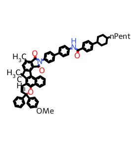 CCCCCC1CCC(c2ccc(C(=O)Nc3ccc(-c4ccc(N5C(=O)c6c(C)cc7c(c6C5=O)-c5c(c6c(c8ccccc58)OC(c5ccccc5)(c5ccc(OC)cc5)C=C6)C7(C)C)cc4)cc3)cc2)CC1